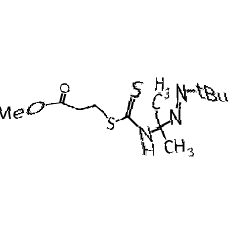 COC(=O)CCSC(=S)NC(C)(C)N=NC(C)(C)C